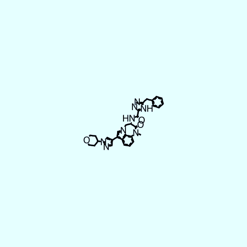 CN1C(=O)[C@@H](NC(=O)c2nnc(Cc3ccccc3)[nH]2)Cn2cc(-c3cnn(C4CCOCC4)c3)c3cccc1c32